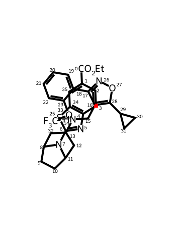 CCOC(=O)c1ccc2nc(N3C4CCC3CC(NCc3c(-c5ccccc5OC(F)(F)F)noc3C3CC3)C4)sc2c1